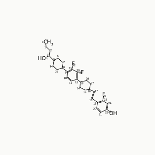 CCCC(O)C1CCC(c2ccc(C3CCC(/C=C/c4ccc(O)cc4F)CC3)c(F)c2F)CC1